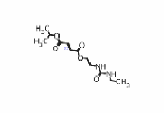 CCNC(=O)NCCOC(=O)/C=C/C(=O)OC(C)C